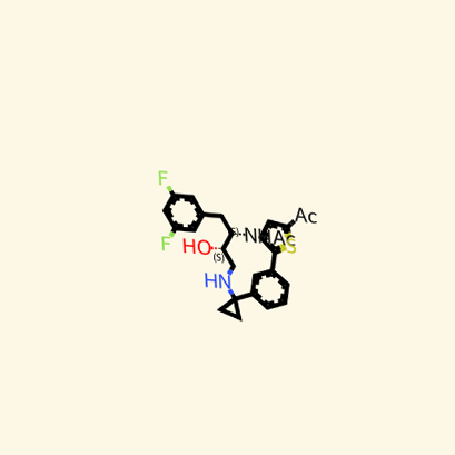 CC(=O)N[C@@H](Cc1cc(F)cc(F)c1)[C@@H](O)CNC1(c2cccc(-c3ccc(C(C)=O)s3)c2)CC1